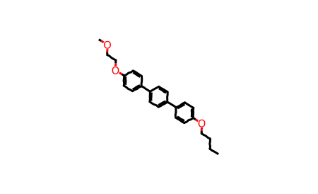 CCCCOc1ccc(-c2ccc(-c3ccc(OCCOC)cc3)cc2)cc1